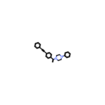 C=C(c1ccc(C#Cc2ccccc2)cc1)N1CCN(c2ccccc2)CC1